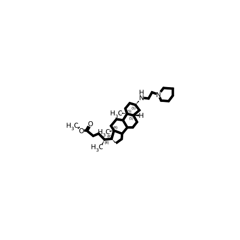 COC(=O)CC[C@@H](C)[C@H]1CCC2C3CC[C@H]4C[C@@H](NCCN5CCCCC5)CC[C@]4(C)C3CC[C@@]21C